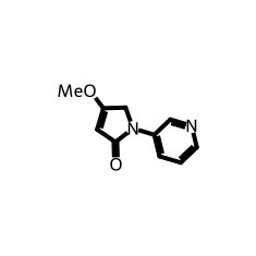 COC1=CC(=O)N(c2cccnc2)C1